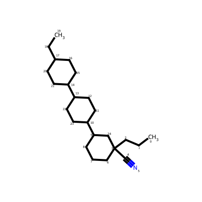 CCCC1(C#N)CCCC(C2CCC(C3CCC(CC)CC3)CC2)C1